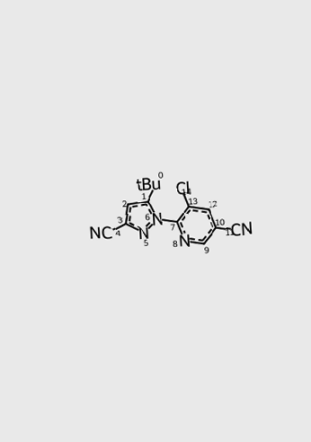 CC(C)(C)c1cc(C#N)nn1-c1ncc(C#N)cc1Cl